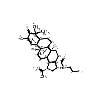 C=C(C)[C@@H]1CC[C@]2(C(=O)NCCF)CC[C@]3(C)C(CC[C@@H]4[C@@]5(C)C=C(C#N)C(=O)C(C)(C)C5CC[C@]43C)C12